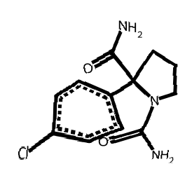 NC(=O)N1CCCC1(C(N)=O)c1ccc(Cl)cc1